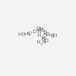 CCOCCOc1cc2c(cc1Oc1ccnc(NC(=O)c3ccc(C4CCN(CCO)CC4)cc3)c1)cc(C)n2C(N)=O